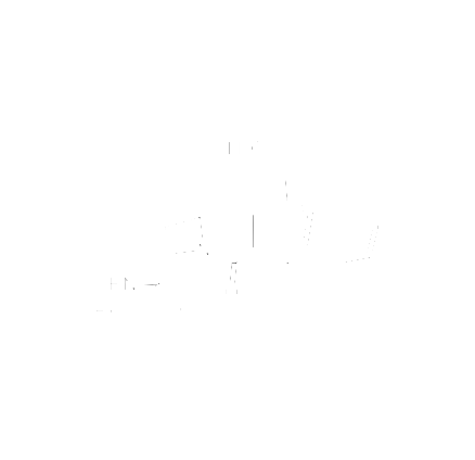 COc1cc(C(=O)N2CCC2C(=O)NO)cc2c1OCC=CC2